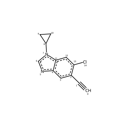 C#Cc1cc2ncn(C3CC3)c2cc1Cl